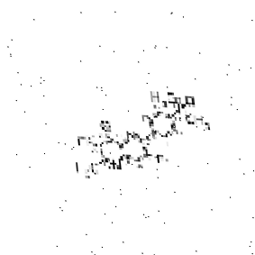 Cc1nc2cc(F)c(-c3ccc(P(C)(C)=O)cc3)nc2c(Cl)c1Cl